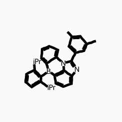 Cc1cc(C)cc(-c2nc3cccc4c3n2-c2ccccc2B4c2c(C(C)C)cccc2C(C)C)c1